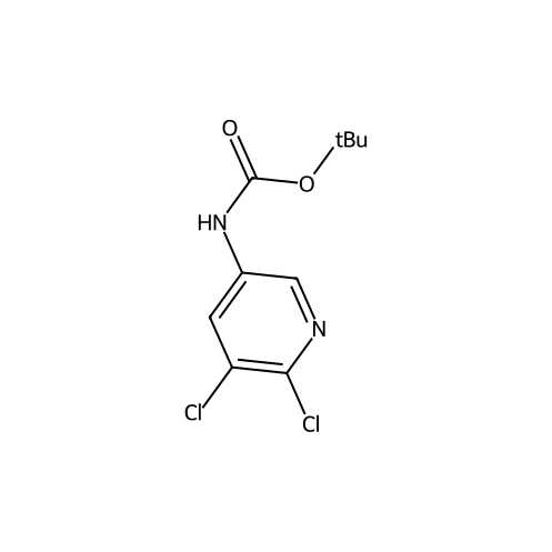 CC(C)(C)OC(=O)Nc1cnc(Cl)c(Cl)c1